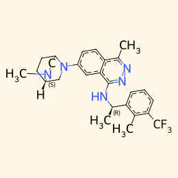 Cc1c([C@@H](C)Nc2nnc(C)c3ccc(N4C[C@@H]5CCC4CN5C)cc23)cccc1C(F)(F)F